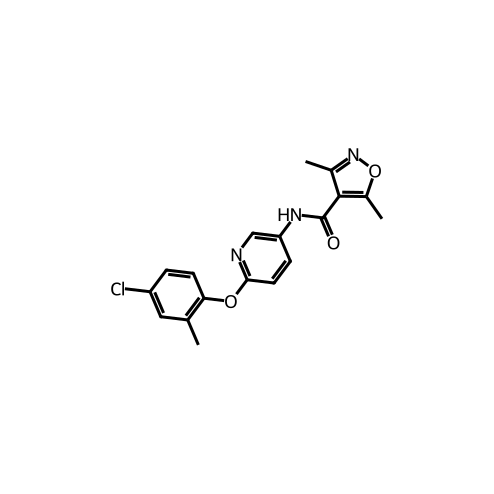 Cc1cc(Cl)ccc1Oc1ccc(NC(=O)c2c(C)noc2C)cn1